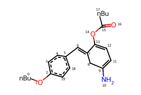 CCCCOc1ccc(C=C2CC(N)=CC=C2OC(=O)CCCC)cc1